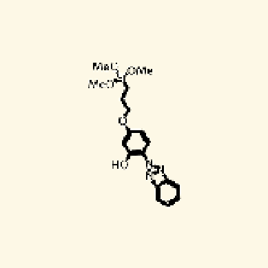 CO[Si](CCCOc1ccc(-n2n3c4ccccc4n23)c(O)c1)(OC)OC